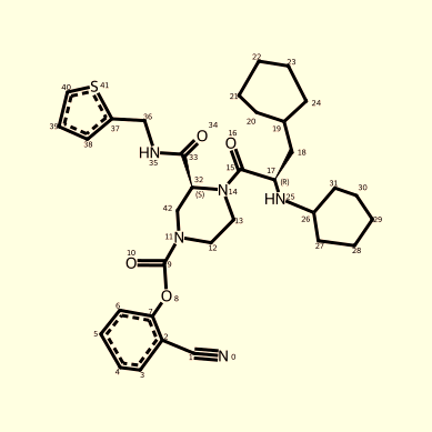 N#Cc1ccccc1OC(=O)N1CCN(C(=O)[C@@H](CC2CCCCC2)NC2CCCCC2)[C@H](C(=O)NCc2cccs2)C1